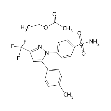 CCOC(C)=O.Cc1ccc(-c2cc(C(F)(F)F)nn2-c2ccc(S(N)(=O)=O)cc2)cc1